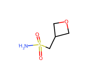 NS(=O)(=O)CC1COC1